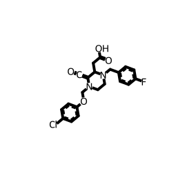 O=C=C1C(CC(=O)O)N(Cc2ccc(F)cc2)CCN1COc1ccc(Cl)cc1